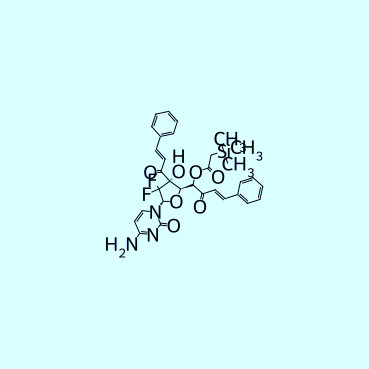 C[Si](C)(C)CC(=O)OC(C(=O)C=Cc1ccccc1)[C@H]1O[C@@H](n2ccc(N)nc2=O)C(F)(F)[C@@]1(O)C(=O)C=Cc1ccccc1